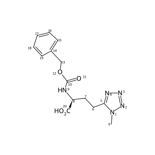 Cn1nnnc1CC[C@H](NC(=O)OCc1ccccc1)C(=O)O